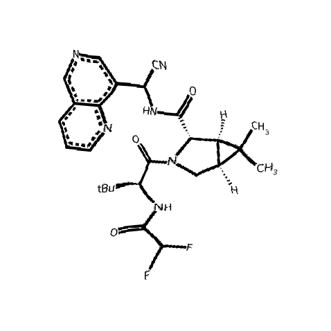 CC(C)(C)[C@H](NC(=O)C(F)F)C(=O)N1C[C@H]2[C@@H]([C@H]1C(=O)NC(C#N)c1cncc3cccnc13)C2(C)C